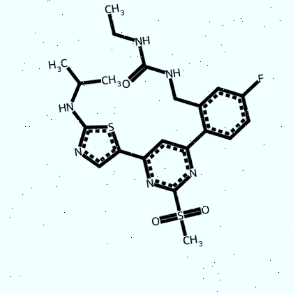 CCNC(=O)NCc1cc(F)ccc1-c1cc(-c2cnc(NC(C)C)s2)nc(S(C)(=O)=O)n1